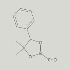 CC1(C)OB(C=O)OC1c1ccccc1